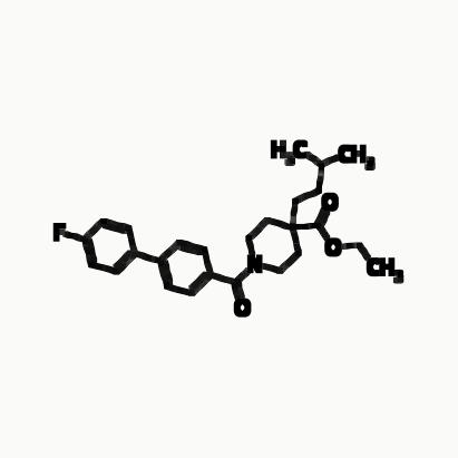 CCOC(=O)C1(CCC(C)C)CCN(C(=O)c2ccc(-c3ccc(F)cc3)cc2)CC1